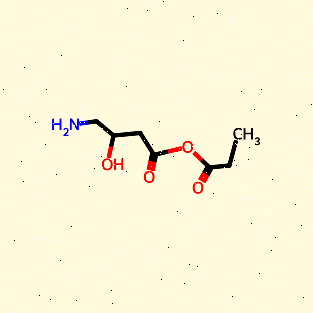 CCC(=O)OC(=O)CC(O)CN